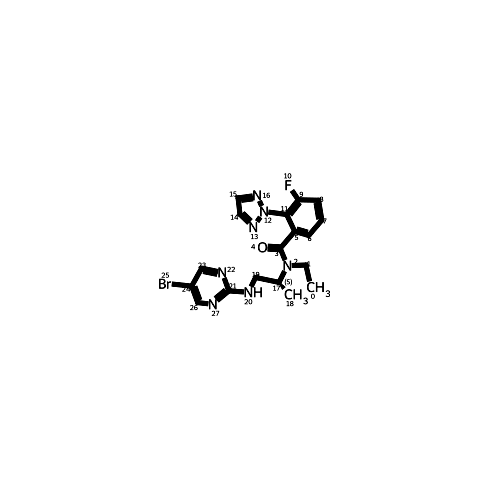 CCN(C(=O)c1cccc(F)c1-n1nccn1)[C@@H](C)CNc1ncc(Br)cn1